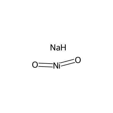 [NaH].[O]=[Ni]=[O]